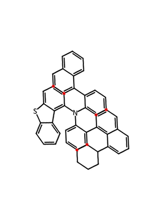 c1ccc(N(c2ccccc2-c2cccc3cccc(C4CCCCC4)c23)c2cccc3sc4ccccc4c23)c(-c2cccc3ccccc23)c1